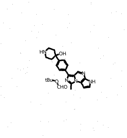 CC(C)(C)OC=O.Cc1nc(-c2ccc(C3(O)CCNCC3)cc2)c2cnc3[nH]ccc3n12